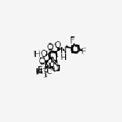 CCN1C(=O)c2c(O)c(=O)c(C(=O)NCc3ccc(F)cc3F)cn2N2CCC[C@@]12C